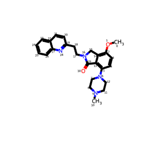 COc1ccc(N2CCN(C)CC2)c2c1CN(CCc1ccc3ccccc3n1)C2=O